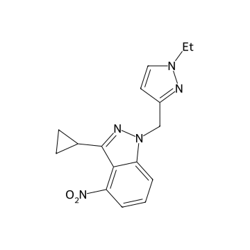 CCn1ccc(Cn2nc(C3CC3)c3c([N+](=O)[O-])cccc32)n1